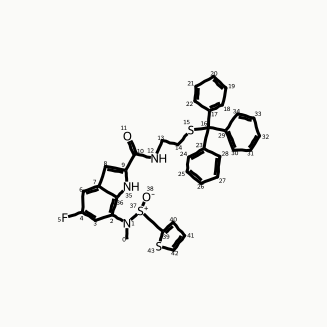 CN(c1cc(F)cc2cc(C(=O)NCCSC(c3ccccc3)(c3ccccc3)c3ccccc3)[nH]c12)[S+]([O-])c1cccs1